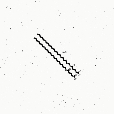 CCCCCCCCCCCCCCCCCCCCCCOC(=O)CCCC(=O)[O-].CCCCCCCCCCCCCCCCCCCCCCOC(=O)CCCC(=O)[O-].[Ca+2]